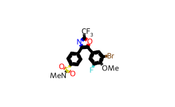 CNS(=O)(=O)c1ccc(-c2nc(C(F)(F)F)oc2-c2cc(F)c(OC)c(Br)c2)cc1